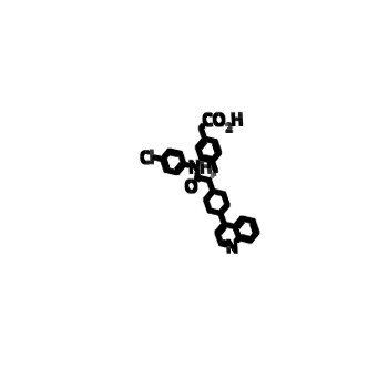 O=C(O)Cc1ccc(C[C@@H](C(=O)Nc2ccc(Cl)cc2)C2CCC(c3ccnc4ccccc34)CC2)cc1